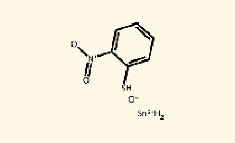 O=[N+]([O-])c1ccccc1S.[Cl-].[SnH2+2]